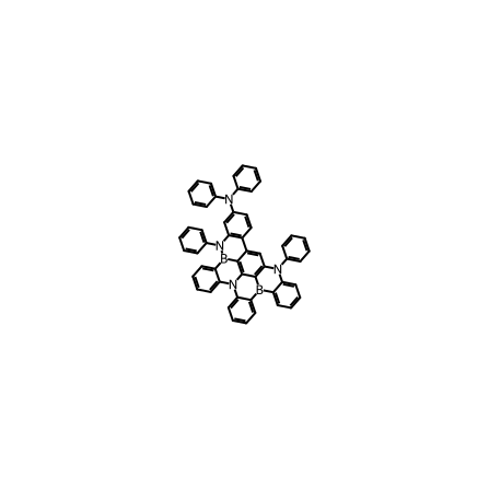 c1ccc(N2B3c4ccccc4N4c5ccccc5B5c6ccccc6N(c6ccccc6)c6cc(c3c4c65)-c3ccc(N(c4ccccc4)c4ccccc4)cc32)cc1